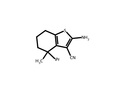 CC(C)C1(C)CCCc2sc(N)c(C#N)c21